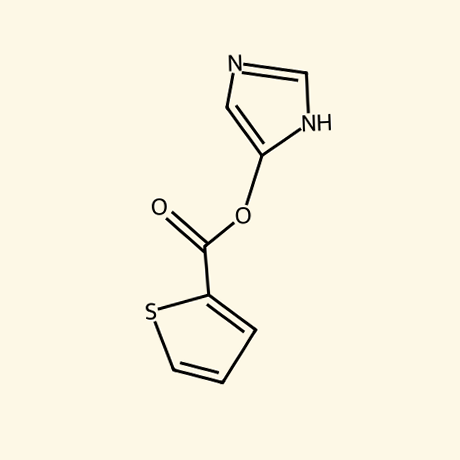 O=C(Oc1cnc[nH]1)c1cccs1